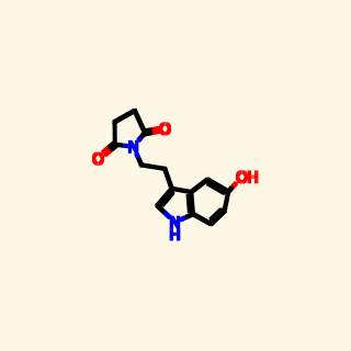 O=C1CCC(=O)N1CCc1c[nH]c2ccc(O)cc12